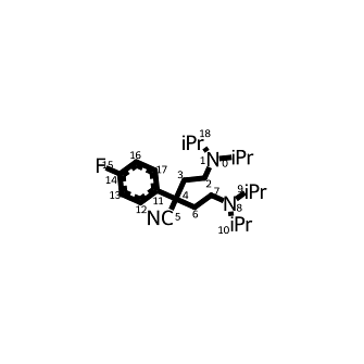 CC(C)N(CCC(C#N)(CCN(C(C)C)C(C)C)c1ccc(F)cc1)C(C)C